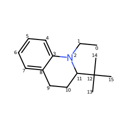 CCN1c2ccccc2CCC1C(C)(C)C